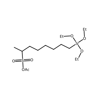 CCO[Si](CCCCCCC(C)S(=O)(=O)OC(C)=O)(OCC)OCC